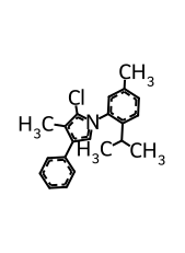 Cc1ccc(C(C)C)c(-n2cc(-c3ccccc3)c(C)c2Cl)c1